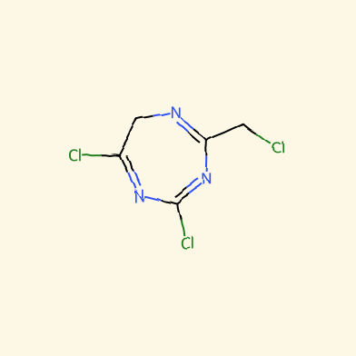 ClCC1=NCC(Cl)=NC(Cl)=N1